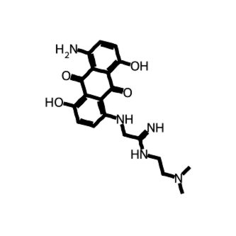 CN(C)CCNC(=N)CNc1ccc(O)c2c1C(=O)c1c(O)ccc(N)c1C2=O